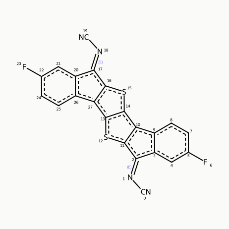 N#C/N=c1\c2cc(F)ccc2c2c1sc1c2sc2/c(=N/C#N)c3cc(F)ccc3c21